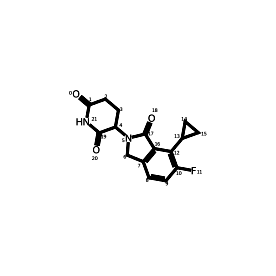 O=C1CCC(N2Cc3ccc(F)c(C4CC4)c3C2=O)C(=O)N1